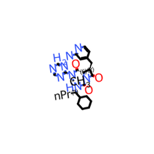 CCC[C@@H](NC(=O)N1C(=O)[C@H](Cc2ccnc(N)c2)[C@H]1C(=O)N(C)c1ncncn1)C1CCCCC1